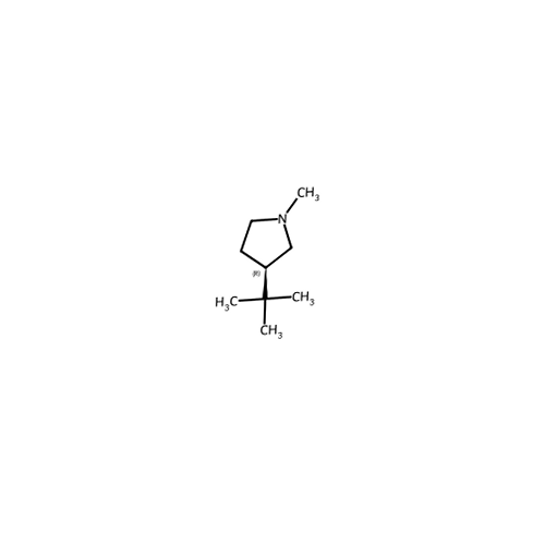 CN1CC[C@H](C(C)(C)C)C1